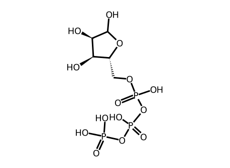 O=P(O)(O)OP(=O)(O)OP(=O)(O)OC[C@H]1OC(O)[C@H](O)[C@@H]1O